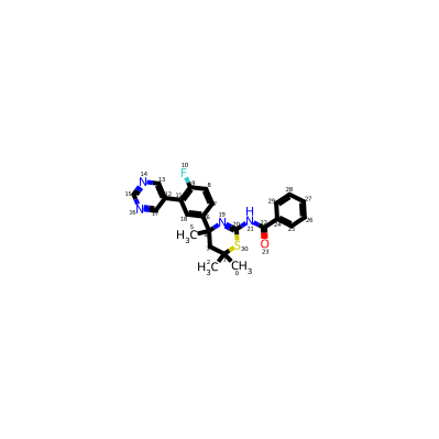 CC1(C)CC(C)(c2ccc(F)c(-c3cncnc3)c2)N=C(NC(=O)c2ccccc2)S1